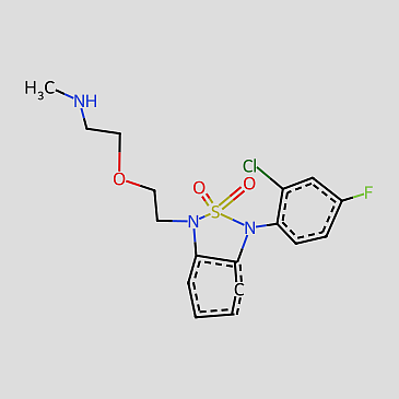 CNCCOCCN1c2ccccc2N(c2ccc(F)cc2Cl)S1(=O)=O